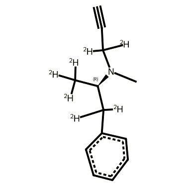 [2H]C([2H])([2H])[C@@H](N(C)C([2H])([2H])C#C)C([2H])([2H])c1ccccc1